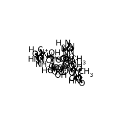 COC[C@H]1[C@@H](O)[C@H](n2c[n+](C)c3c(=O)[nH]c(N)nc32)O[C@@H]1COP(=O)(O)OP(=O)(O)OP(=O)(O)OCC1O[C@@H](n2cnc3c(N)ncnc32)[C@H](OC)[C@@H]1P(=O)([O-])OC[C@H]1O[C@@H](n2ccc(=O)[nH]c2=O)[C@H](OC)[C@@H]1O